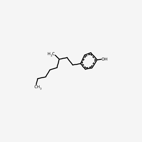 CCCCCC(C)CCc1ccc(O)cc1